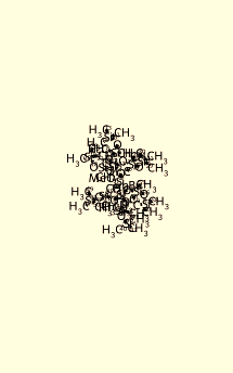 CCCC[Si](OC)(O[Si](O[Si](C)(C)O[Si](C)(C)C)(O[Si](C)(C)O[Si](C)(C)C)O[Si](C)(C)O[Si](C)(C)C)O[Si](O[Si](C)(C)O[Si](C)(C)C)(O[Si](C)(C)O[Si](C)(C)C)O[Si](C)(C)O[Si](C)(C)C